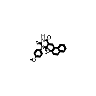 COc1ccc(N2C(=O)/C(=C\c3c(OC)ccc4ccccc34)C(=O)NC2=S)cc1